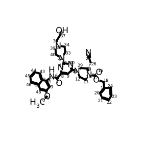 COc1cc(NC(=O)c2cc(N3CCN(C(=O)OCc4ccccc4)[C@@H](CC#N)C3)nc(N3CCN(CCO)CC3)n2)c2ccccc2c1